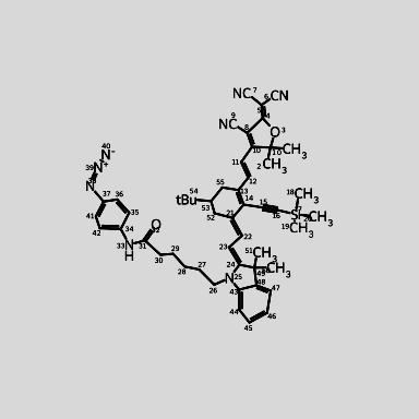 CC1(C)OC(=C(C#N)C#N)C(C#N)=C1/C=C/C1=C(C#C[Si](C)(C)C)C(=C/C=C2/N(CCCCCC(=O)Nc3ccc(N=[N+]=[N-])cc3)c3ccccc3C2(C)C)/CC(C(C)(C)C)C1